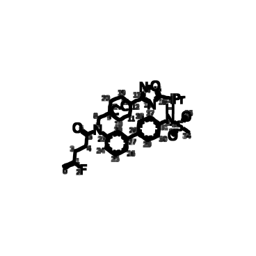 C=C(F)CCC(=O)N(CC12CCC(c3noc(C(C)C)n3)(CC1)CC2)c1cccc(-c2ccc(NS(C)(=O)=O)cc2)c1